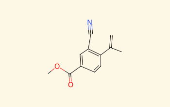 C=C(C)c1ccc(C(=O)OC)cc1C#N